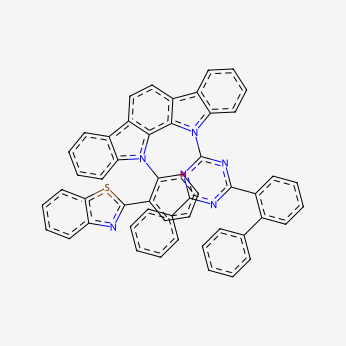 c1ccc(-c2nc(-c3ccccc3-c3ccccc3)nc(-n3c4ccccc4c4ccc5c6ccccc6n(-c6ccccc6-c6nc7ccccc7s6)c5c43)n2)cc1